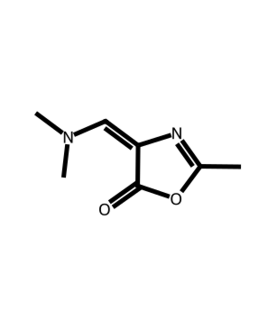 CC1=N/C(=C/N(C)C)C(=O)O1